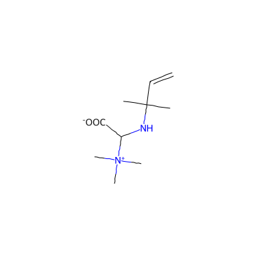 C=CC(C)(C)NC(C(=O)[O-])[N+](C)(C)C